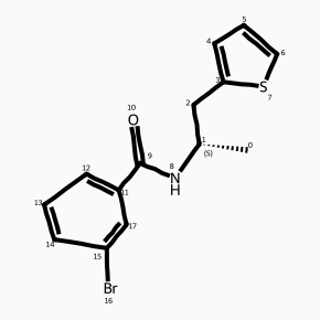 C[C@@H](Cc1cccs1)NC(=O)c1cccc(Br)c1